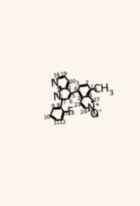 Cc1ccc(-c2cc(-c3ccccc3F)nc3ncccc23)c2cc[n+]([O-])cc12